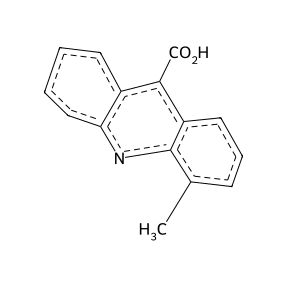 Cc1cccc2c(C(=O)O)c3ccccc3nc12